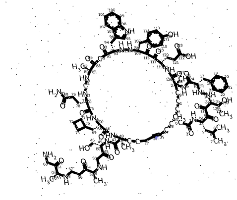 CC(=O)N[C@@H](CC(C)C)C(=O)C(=O)[C@@H](NN[C@@H](Cc1ccccc1)C(=O)N[C@]1(C)CCCCCC/C=C/CCC[C@@](C)(C(=O)N[C@@H](CO)C(=O)CN[C@@H](C)C(=O)CCN[C@@H](C)C(=O)CN)NC(=O)[C@H](CC2CCC2)NC(=O)[C@H](CCC(N)=O)NCN[C@@H](C)C(=O)CC(=O)[C@H](Cc2c[nH]c3ccccc23)NN[C@@H](Cc2ccc(O)cc2)C(=O)C(=O)[C@H](CCC(=O)O)NC1=O)[C@@H](C)O